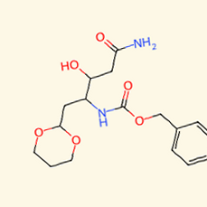 NC(=O)CC(O)C(CC1OCCCO1)NC(=O)OCc1ccccc1